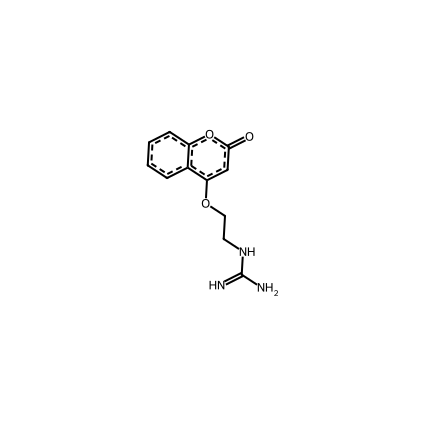 N=C(N)NCCOc1cc(=O)oc2ccccc12